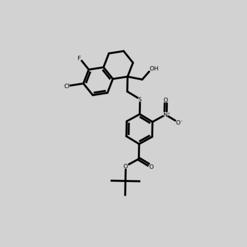 CC(C)(C)OC(=O)c1ccc(SCC2(CO)CCCc3c2ccc(Cl)c3F)c([N+](=O)[O-])c1